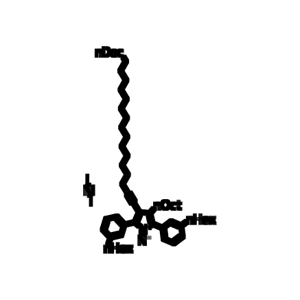 CCCCCCCCCCCCCCCCCCCCCCCCC#CC1=C(c2cccc(CCCCCC)c2)[N+](=[N-])C(c2cccc(CCCCCC)c2)=C1CCCCCCCC.[I][Ni][I]